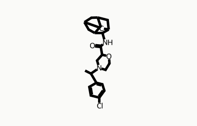 CC(c1ccc(Cl)cc1)N1CCOC(C(=O)NC2C3CC4CC(C3)CC2C4)C1